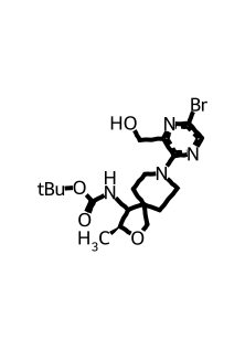 C[C@@H]1OCC2(CCN(c3ncc(Br)nc3CO)CC2)C1NC(=O)OC(C)(C)C